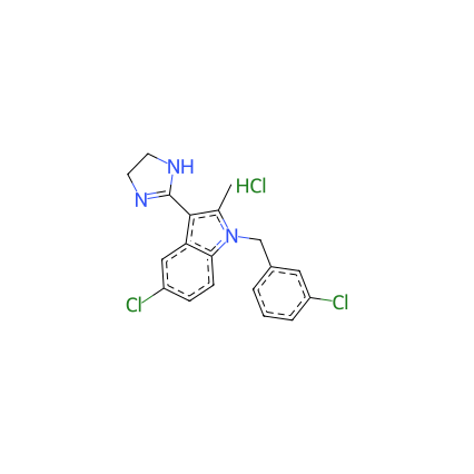 Cc1c(C2=NCCN2)c2cc(Cl)ccc2n1Cc1cccc(Cl)c1.Cl